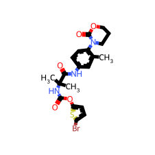 Cc1cc(NC(=O)C(C)(C)NC(=O)Oc2ccc(Br)s2)ccc1N1CCCOC1=O